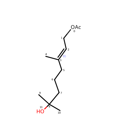 CC(=O)OC/C=C(\C)CCCC(C)(C)O